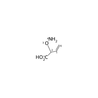 C=CC(ON)C(=O)O